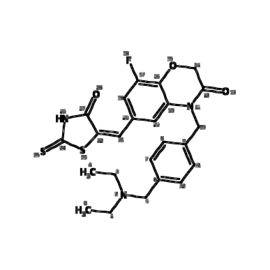 CCN(CC)Cc1ccc(CN2C(=O)COc3c(F)cc(C=C4SC(=S)NC4=O)cc32)cc1